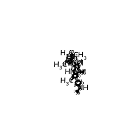 Cc1cc(Nc2ncc(Cl)c(Nc3cn(C)nc3S(=O)(=O)C(C)C)n2)c(OC2CC2)cc1[C@H]1CC[C@H](NC2CC2)CC1